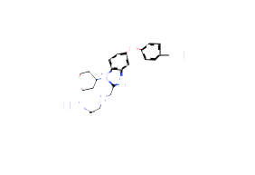 Cc1ccc(Oc2ccc3c(c2)nc(CNC(=O)[C@H](C)N)n3C2CCOCC2)cc1